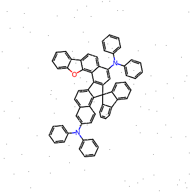 c1ccc(N(c2ccccc2)c2ccc3c4c(ccc3c2)-c2c(cc(N(c3ccccc3)c3ccccc3)c3ccc5c6ccccc6oc5c23)C42c3ccccc3-c3ccccc32)cc1